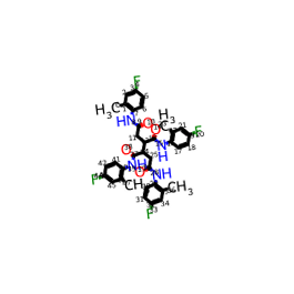 Cc1cc(F)ccc1NC(=O)CC(C(=O)Nc1ccc(F)cc1C)C(CC(=O)Nc1ccc(F)cc1C)C(=O)Nc1ccc(F)cc1C